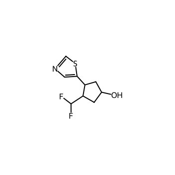 OC1CC(c2cncs2)C(C(F)F)C1